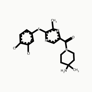 Cc1nc(C(=O)N2CCC(C)(N)CC2)cnc1Sc1ccc(Cl)c(Cl)c1